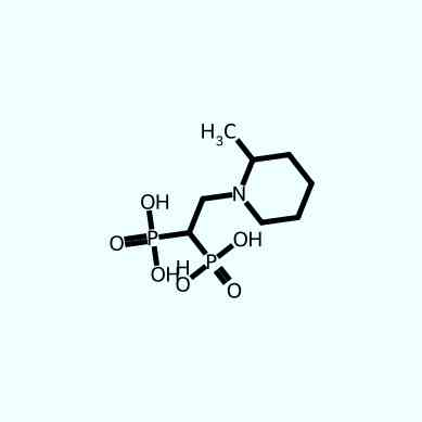 CC1CCCCN1CC(P(=O)(O)O)P(=O)(O)O